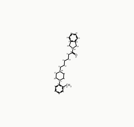 Cc1ccccc1N1CCN(CCCCCC(=O)N2Cc3ccccc3C2)CC1